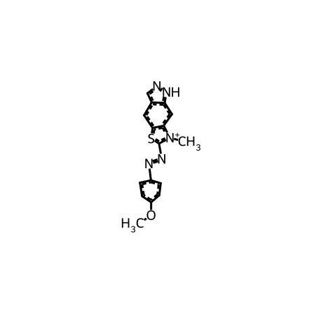 COc1ccc(/N=N/c2sc3cc4cn[nH]c4cc3[n+]2C)cc1